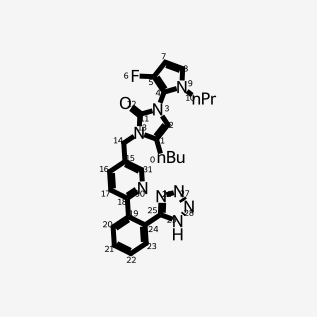 CCCCc1cn(-c2c(F)ccn2CCC)c(=O)n1Cc1ccc(-c2ccccc2-c2nnn[nH]2)nc1